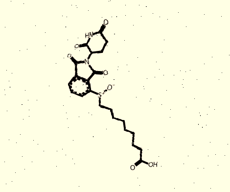 O=C(O)CCCCCCCC[S+]([O-])c1cccc2c1C(=O)N(C1CCC(=O)NC1=O)C2=O